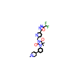 CN1CC=C(c2cccc(N3C(=O)N(Cc4ccc(-c5nnc(C(F)F)o5)cn4)C(=O)C3(C)C)c2)CC1